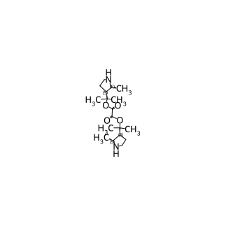 C[C@@H]1NCC[C@@H]1C(C)(C)OC(=O)C(=O)OC(C)(C)[C@H]1CCN[C@H]1C